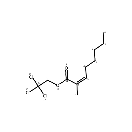 CCCCCC=C(C)C(=O)OCC(Cl)(Cl)Cl